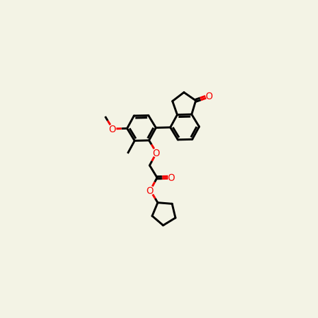 COc1ccc(-c2cccc3c2CCC3=O)c(OCC(=O)OC2CCCC2)c1C